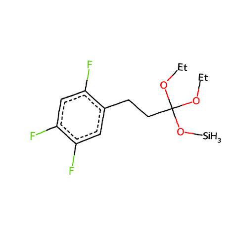 CCOC(CCc1cc(F)c(F)cc1F)(O[SiH3])OCC